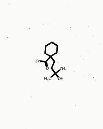 CC(C)C(=O)C1(CCC(C)(C)O)CCCCC1